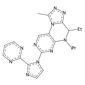 CCC1c2nnc(C)n2-c2cnc(-n3ccnc3-c3ncccn3)nc2N1C(C)C